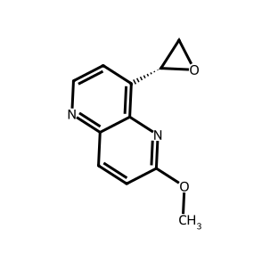 COc1ccc2nccc([C@@H]3CO3)c2n1